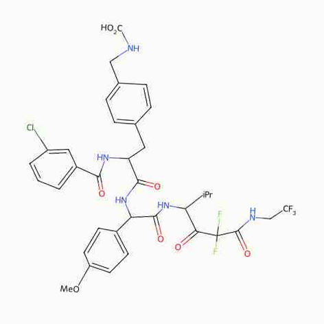 COc1ccc(C(NC(=O)C(Cc2ccc(CNC(=O)O)cc2)NC(=O)c2cccc(Cl)c2)C(=O)NC(C(=O)C(F)(F)C(=O)NCC(F)(F)F)C(C)C)cc1